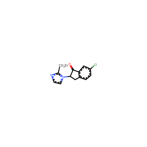 CCOC(=O)c1nccn1C1Cc2ccc(Cl)cc2C1=O